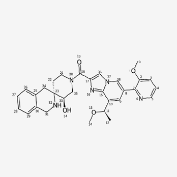 COc1cccnc1-c1cc([C@@H](C)OC)c2nc(C(=O)N3CC[C@]4(Cc5ccccc5CN4)[C@H](O)C3)cn2c1